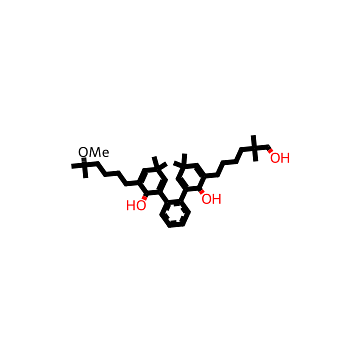 COC(C)(C)CCCCC1=CC(C)(C)C=C(c2ccccc2C2=CC(C)(C)C=C(CCCCC(C)(C)CO)C2O)C1O